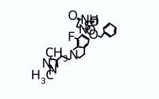 Cc1nn(C)cc1CCN1CCc2cc(OCc3ccccc3)c(N3CC(=O)NS3(=O)=O)c(F)c2C1